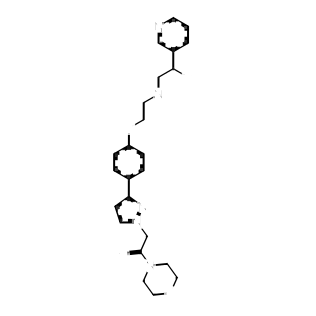 O=C(Cn1ccc(-c2ccc(OCCNCC(O)c3cccnc3)cc2)n1)N1CCOCC1